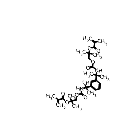 C=C(C)C(=O)OC(C)(C)COC(=O)NC(C)(C)c1cccc(C(C)(C)NC(=O)OCC(C)(C)OC(=O)C(=C)C)c1